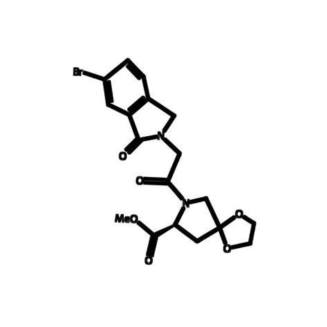 COC(=O)[C@@H]1CC2(CN1C(=O)CN1Cc3ccc(Br)cc3C1=O)OCCO2